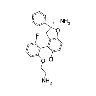 NCCOc1cccc(F)c1-c1c(Cl)ccc2c1C[C@@](CN)(c1ccccc1)O2